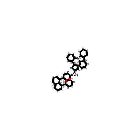 C1=Cc2c(n(-c3ccccc3C3=CC=C(Nc4ccc(-c5cccc6cccc(-c7ccccc7)c56)cc4)C3)c3ccccc23)CC1